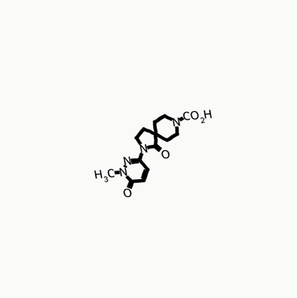 Cn1nc(N2CCC3(CCN(C(=O)O)CC3)C2=O)ccc1=O